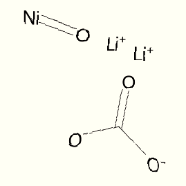 O=C([O-])[O-].[Li+].[Li+].[O]=[Ni]